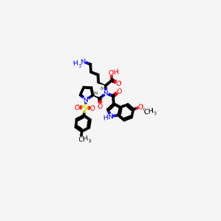 COc1ccc2[nH]cc(C(=O)N(C(=O)[C@@H]3CCCN3S(=O)(=O)c3ccc(C)cc3)[C@@H](CCCCN)C(=O)O)c2c1